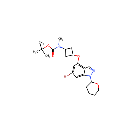 CN(C(=O)OC(C)(C)C)[C@H]1C[C@@H](Oc2cc(Br)cc3c2cnn3C2CCCCO2)C1